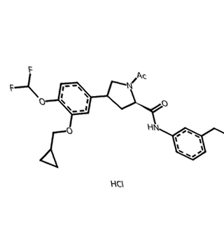 CC(=O)N1CC(c2ccc(OC(F)F)c(OCC3CC3)c2)C[C@@H]1C(=O)Nc1cccc(CN)c1.Cl